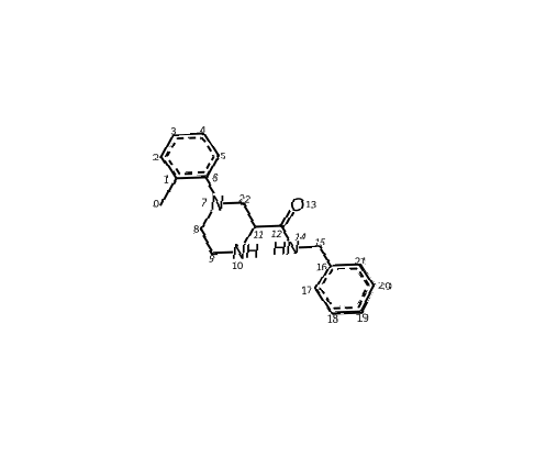 Cc1ccccc1N1CCNC(C(=O)NCc2ccccc2)C1